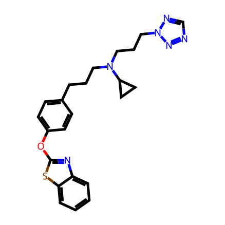 c1ccc2sc(Oc3ccc(CCCN(CCCn4ncnn4)C4CC4)cc3)nc2c1